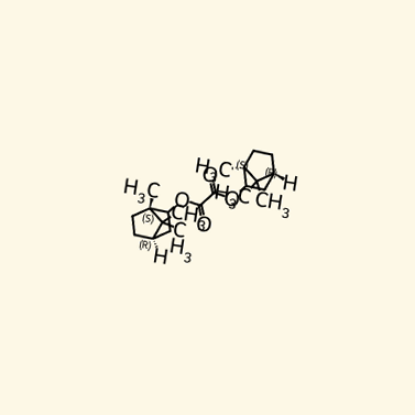 CC1(C)[C@@H]2CC[C@]1(C)C(OC(=O)C(=O)OC1C[C@H]3CC[C@@]1(C)C3(C)C)C2